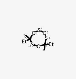 CCC1(C)OSOSC(C)(CC)OS1